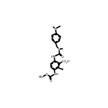 Cc1c(NC(=O)OC(C)(C)C)ccc(NC(=O)N(C)Cc2ccc(N(C)C)cc2)c1C(=O)O